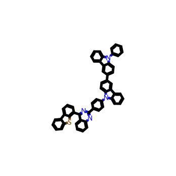 c1ccc(-n2c3ccccc3c3cc(-c4ccc5c(c4)c4ccccc4n5-c4ccc(-c5nc(-c6cccc7c6sc6ccccc67)c6ccccc6n5)cc4)ccc32)cc1